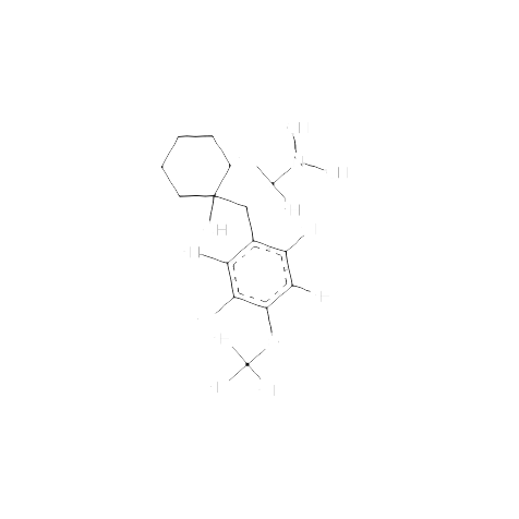 [2H]c1c([2H])c([C@H](C2(O)CCCCC2)C([2H])([2H])N(C)C)c([2H])c([2H])c1OC([2H])([2H])[2H]